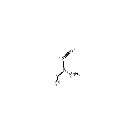 CCCOP=O.[MgH2]